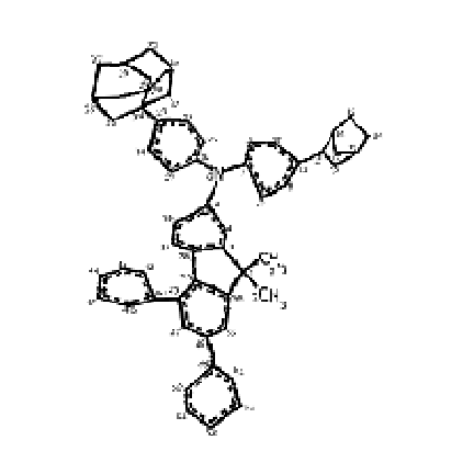 CC1(C)c2cc(N(c3ccc(C4CC5CCC4C5)cc3)c3ccc(C45CC6CC(CC(C6)C4)C5)cc3)ccc2-c2c(-c3ccccc3)cc(-c3ccccc3)cc21